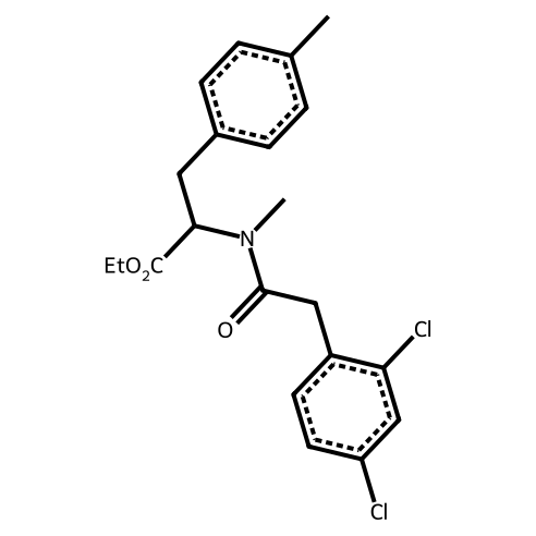 CCOC(=O)C(Cc1ccc(C)cc1)N(C)C(=O)Cc1ccc(Cl)cc1Cl